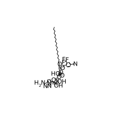 CCCCCCCCCCCCCCCCCCOC[C@H](COP(=O)(O)OC[C@H]1O[C@@](C)(c2ccc3c(N)ncnn23)[C@H](O)[C@@H]1O)OCc1ccc(C#N)cc1C(F)(F)F